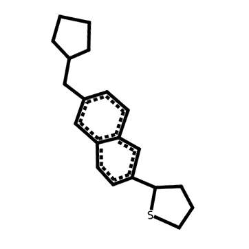 c1cc2cc(C3CCCS3)ccc2cc1CC1CCCC1